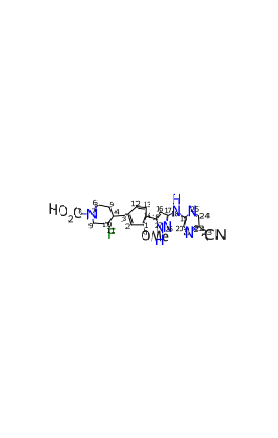 COc1cc(C2CCN(C(=O)O)CC2F)ccc1-c1cc(Nc2cnc(C#N)cn2)n[nH]1